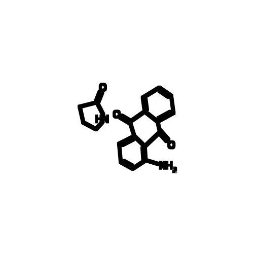 Nc1cccc2c1C(=O)c1ccccc1C2=O.O=C1CCCN1